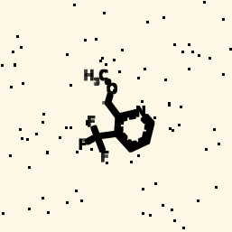 CO[CH]c1ncccc1C(F)(F)F